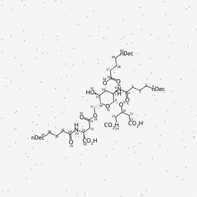 CCCCCCCCCCCCCC(=O)N[C@H]1[C@H](OC(CC(=O)O)CC(=O)O)O[C@H](COC(=O)C[C@H](NC(=O)CCCCCCCCCCCCC)C(=O)O)[C@@H](O)[C@@H]1OC(=O)CCCCCCCCCCCCC